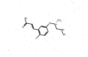 CC(C)NC[C@@H](C)Oc1ccc(F)c(/C=C/C(=O)C(C)C)c1